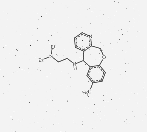 CCN(CC)CCNC1c2cc(C)ccc2OCc2ncccc21